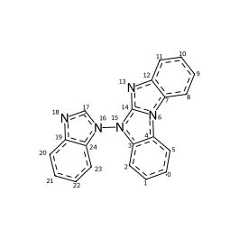 [c]1ccc2c(c1)n1c3ccccc3nc1n2-n1[c]nc2ccccc21